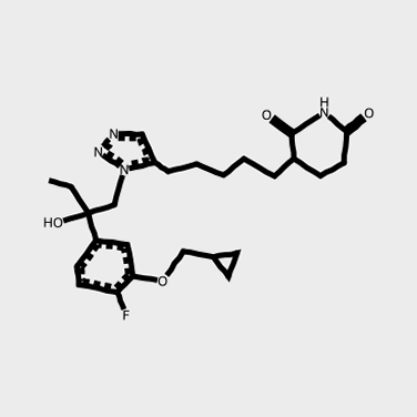 CCC(O)(Cn1nncc1CCCCCC1CCC(=O)NC1=O)c1ccc(F)c(OCC2CC2)c1